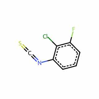 Fc1cccc(N=C=S)c1Cl